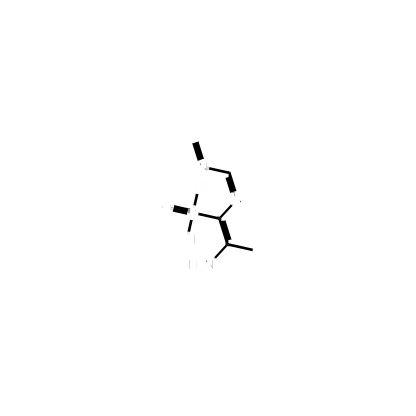 C=N/C=N\C(=C(/C)N)P(=O)(O)O